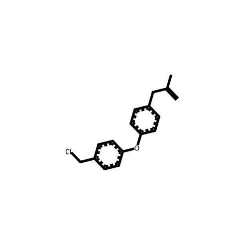 C=C(C)Cc1ccc(Oc2ccc(CCl)cc2)cc1